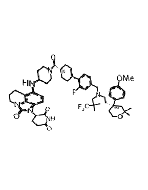 COc1ccc([C@]2(CCN(Cc3ccc(C4=CC[C@@H](C(=O)N5CCC(Nc6ccc7c8c6CCCn8c(=O)n7C6CCC(=O)NC6=O)CC5)CC4)c(F)c3)CC(C)(C)C(F)(F)F)CCOC(C)(C)C2)cc1